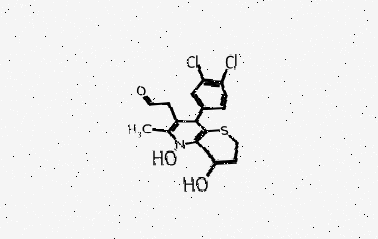 CC1=C(CC=O)C(c2ccc(Cl)c(Cl)c2)C2=C(C(O)CCS2)N1O